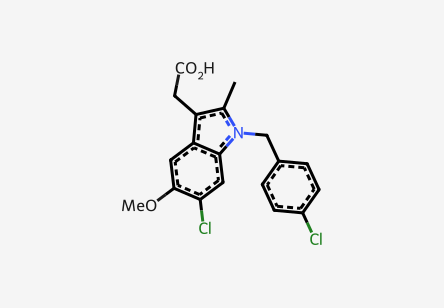 COc1cc2c(CC(=O)O)c(C)n(Cc3ccc(Cl)cc3)c2cc1Cl